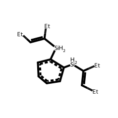 CCC=C(CC)[SiH2]c1ccccc1[SiH2]C(=CCC)CC